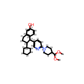 COC(OC)C1CCN(c2ccc(C3c4ccc(O)cc4CCC3C3CCCCC3)cn2)CC1